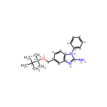 CC(C)(C)[Si](C)(C)OCc1ccc2c(c1)nc(N)n2-c1ccccc1